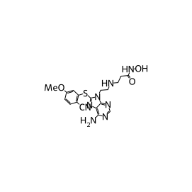 COc1ccc(C#N)c(Sc2nc3c(N)ncnc3n2CCNCCC(=O)NO)c1